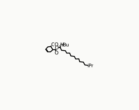 CCCCC(CCCCCCCCCCCC(C)C)OC(=O)C1CC=CCC1C(=O)O